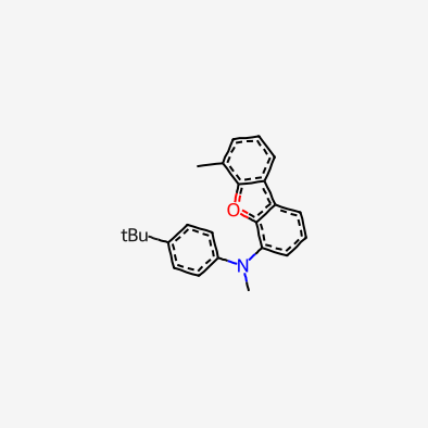 Cc1cccc2c1oc1c(N(C)c3ccc(C(C)(C)C)cc3)cccc12